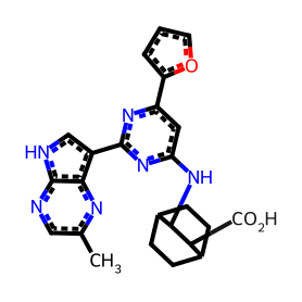 Cc1cnc2[nH]cc(-c3nc(NC4C5CCC(CC5)C4C(=O)O)cc(-c4ccco4)n3)c2n1